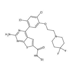 CCNC(=O)c1cc2c(-c3cc(OCCN4CCC(F)(F)CC4)c(Cl)cc3Cl)nc(N)nc2s1